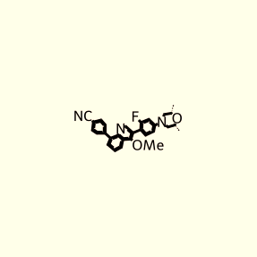 COc1c(-c2ccc(N3C[C@@H](C)O[C@@H](C)C3)cc2F)cnc2c(-c3ccc(C#N)cc3)cccc12